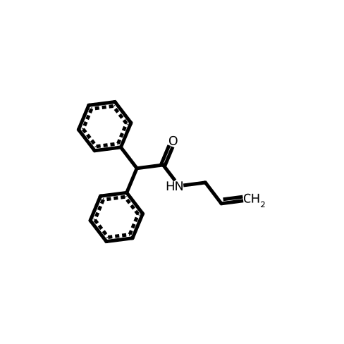 C=CCNC(=O)C(c1ccccc1)c1ccccc1